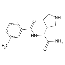 NC(=O)C(NC(=O)c1cccc(C(F)(F)F)c1)C1CCNC1